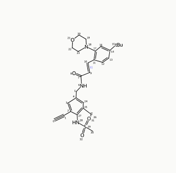 C#Cc1cc(CNC(=O)/C=C/c2ccc(C(C)(C)C)cc2N2CCOCC2)cc(F)c1NS(C)(=O)=O